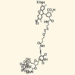 CC/N=c1/cc2oc3cc(NCC)c(C)cc3c(-c3cc(C(=O)NCCSSCOCCCC(=O)NCC#Cc4cn([C@H]5CC(OC(F)N=[N+]=[N-])[C@@H](COP(=O)(O)OP(=O)(O)OP(=O)(O)O)O5)c(=O)[nH]c4=O)ccc3C(=O)O)c-2cc1C